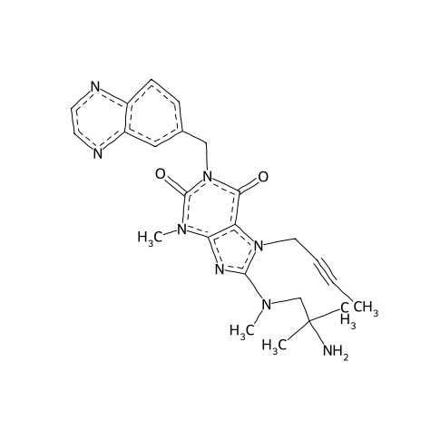 CC#CCn1c(N(C)CC(C)(C)N)nc2c1c(=O)n(Cc1ccc3nccnc3c1)c(=O)n2C